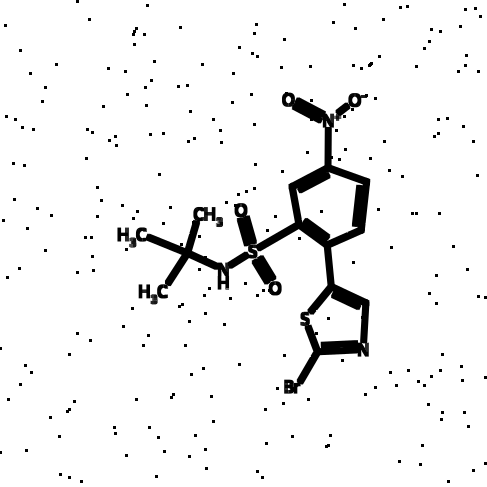 CC(C)(C)NS(=O)(=O)c1cc([N+](=O)[O-])ccc1-c1cnc(Br)s1